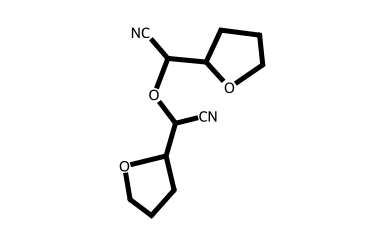 N#CC(OC(C#N)C1CCCO1)C1CCCO1